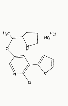 CC(Oc1cnc(Cl)c(-c2cccs2)c1)[C@@H]1CCCN1.Cl.Cl